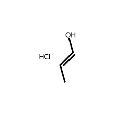 CC=CO.Cl